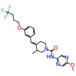 COc1cnc(NC(=O)N2CCC(=Cc3cccc(OCCCC(F)(F)F)c3)C(C)C2)cn1